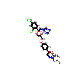 CN(C)/C=C\C(=O)c1ccc(OCC2COC(Cn3cncn3)(c3ccc(Cl)cc3Cl)O2)cc1